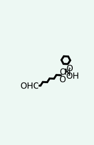 O=CCCCCCCC(=O)ON(O)OC1CCCCC1